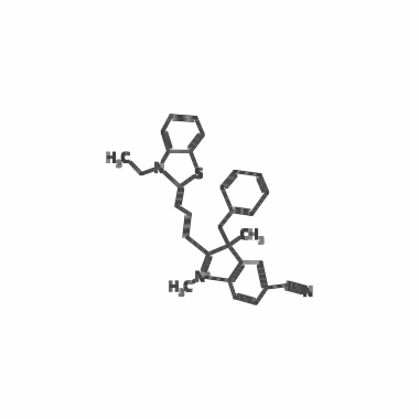 CCN1/C(=C/C=C/C2=[N+](C)c3ccc(C#N)cc3C2(C)Cc2ccccc2)Sc2ccccc21